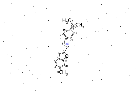 Cc1ccc2cc(/C=C/c3ccc(N(C)C)cc3)oc2c1